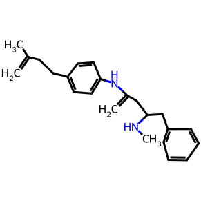 C=C(C)CCc1ccc(NC(=C)CC(Cc2ccccc2)NC)cc1